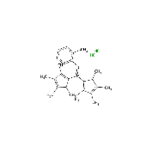 CC1=C(C)C(C)[C]([Zr](=[CH]c2ccccc2C)[C]2=C(C)C(C)=C(C)C2C)=C1C.Cl.Cl